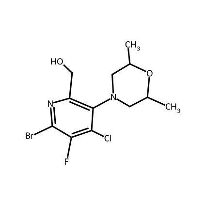 CC1CN(c2c(CO)nc(Br)c(F)c2Cl)CC(C)O1